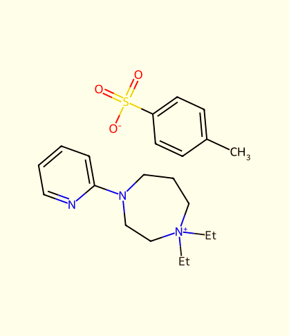 CC[N+]1(CC)CCCN(c2ccccn2)CC1.Cc1ccc(S(=O)(=O)[O-])cc1